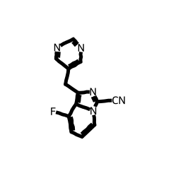 N#Cc1nc(Cc2cncnc2)c2c(F)cccn12